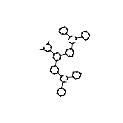 Cc1cc(-c2cc(-c3cccc(-c4cc(-c5ccccc5)nc(-c5ccccc5)n4)c3)cc(-c3cccc(-c4nc(-c5ccccc5)nc(-c5ccccc5)n4)c3)c2)cc(C)n1